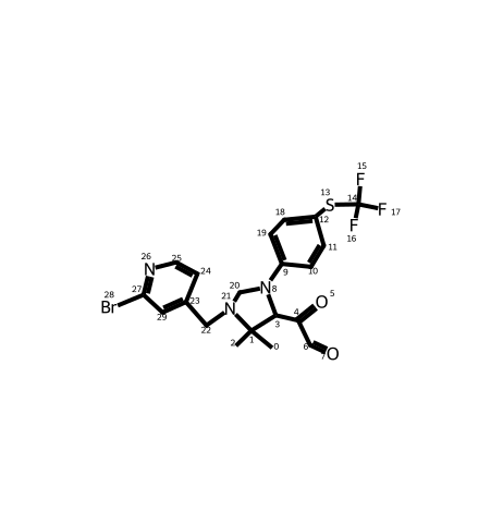 CC1(C)C(C(=O)C=O)N(c2ccc(SC(F)(F)F)cc2)CN1Cc1ccnc(Br)c1